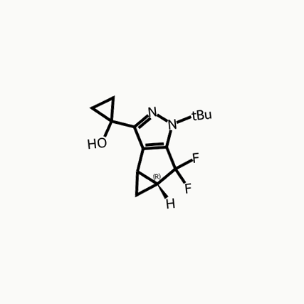 CC(C)(C)n1nc(C2(O)CC2)c2c1C(F)(F)[C@@H]1CC21